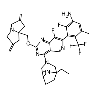 C=C1CN2CC(=C)CC2(COc2nc(N3CC4CCC(CC)(C3)N4)c3cnc(-c4c(F)c(N)cc(C)c4C(F)(F)F)c(F)c3n2)C1